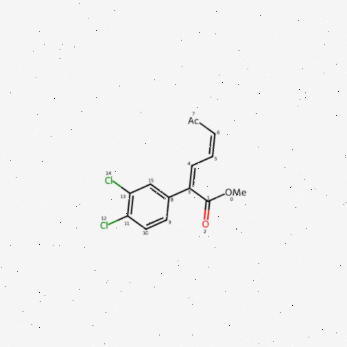 COC(=O)/C(=C\C=C/C(C)=O)c1ccc(Cl)c(Cl)c1